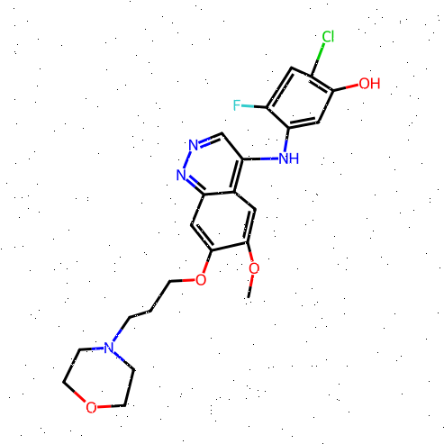 COc1cc2c(Nc3cc(O)c(Cl)cc3F)cnnc2cc1OCCCN1CCOCC1